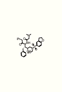 CC(C)CC(=O)N(NC(=O)CN(C)C)[C@@H](Cc1ccccc1)[C@H](O)CN(CC(C)C)S(=O)(=O)c1ccc2c(c1)CCO2